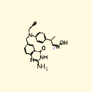 C#CCN(Cc1ccc2nc(N)[nH]c(=O)c2c1)c1ccc(C(C)/C=N\O)cc1